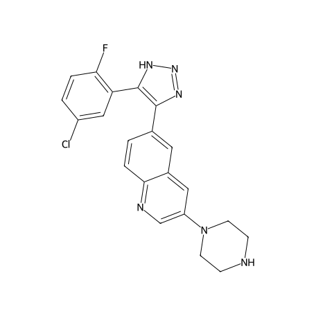 Fc1ccc(Cl)cc1-c1[nH]nnc1-c1ccc2ncc(N3CCNCC3)cc2c1